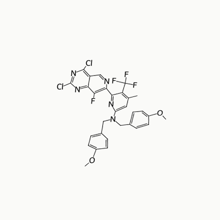 COc1ccc(CN(Cc2ccc(OC)cc2)c2cc(C)c(C(F)(F)F)c(-c3ncc4c(Cl)nc(Cl)nc4c3F)n2)cc1